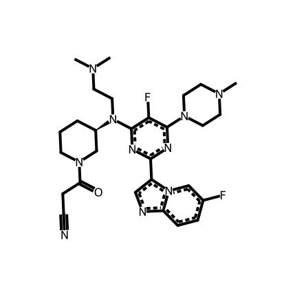 CN(C)CCN(c1nc(-c2cnc3ccc(F)cn23)nc(N2CCN(C)CC2)c1F)[C@@H]1CCCN(C(=O)CC#N)C1